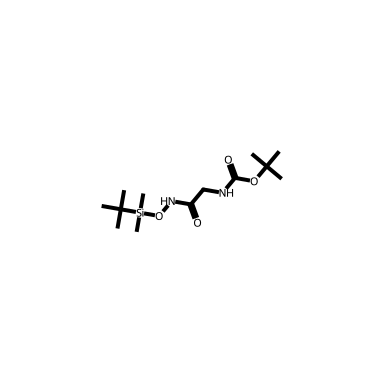 CC(C)(C)OC(=O)NCC(=O)NO[Si](C)(C)C(C)(C)C